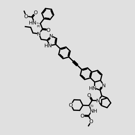 CCCN(Cc1ncc(-c2ccc(C#Cc3ccc4c(c3)C=CC3N=C(C5C6CCC(C6)N5C(=O)[C@@H](NC(=O)OC)C5CCOCC5)NC43)cc2)[nH]1)C(=O)[C@H](NC(=O)OC)c1ccccc1